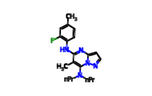 CCCN(CCC)c1c(C)c(Nc2ccc(C)cc2F)nc2ccnn12